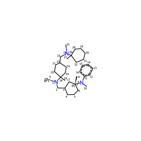 CC(C)N(CC1CCC[C@@](C)(N(C)c2ccccc2)C1)C1(C)CCC(CN(C)C2(C)CCCCC2)CC1